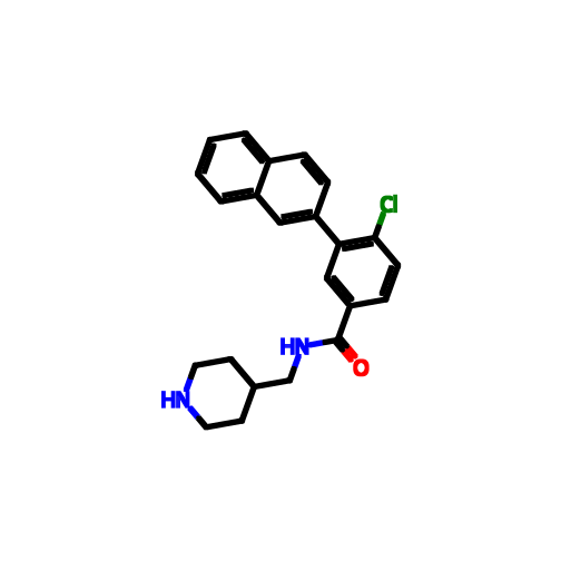 O=C(NCC1CCNCC1)c1ccc(Cl)c(-c2ccc3ccccc3c2)c1